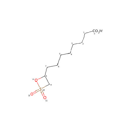 O=C(O)CCCCCCCC1CS(=O)(=O)O1